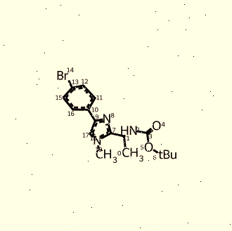 CC(NC(=O)OC(C)(C)C)c1nc(-c2ccc(Br)cc2)cn1C